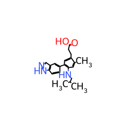 Cc1cc(NCC(C)C)c(-c2ccc3[nH]ncc3c2)cc1CCC(=O)O